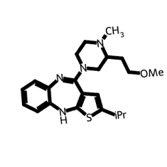 COCCC1CN(C2=Nc3ccccc3Nc3sc(C(C)C)cc32)CCN1C